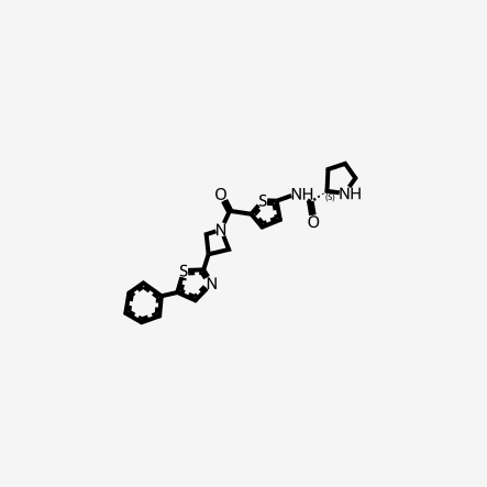 O=C(Nc1ccc(C(=O)N2CC(c3ncc(-c4ccccc4)s3)C2)s1)[C@@H]1CCCN1